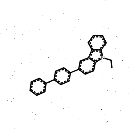 CCn1c2ccccc2c2cc(-c3ccc(-c4ccccc4)cc3)ccc21